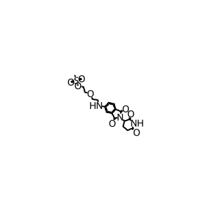 CS(=O)(=O)OCCOCCNc1ccc2c(c1)C(=O)N(C1CCC(=O)NC1=O)C2=O